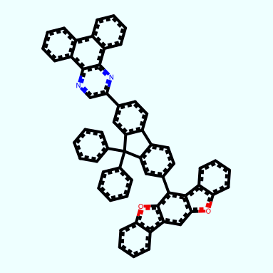 c1ccc(C2(c3ccccc3)c3cc(-c4cnc5c6ccccc6c6ccccc6c5n4)ccc3-c3ccc(-c4c5oc6ccccc6c5cc5oc6ccccc6c45)cc32)cc1